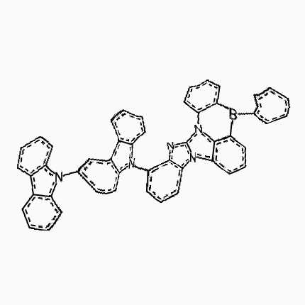 c1ccc(B2c3ccccc3-n3c4c2cccc4n2c4cccc(-n5c6ccccc6c6cc(-n7c8ccccc8c8ccccc87)ccc65)c4nc32)cc1